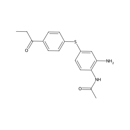 CCC(=O)c1ccc(Sc2ccc(NC(C)=O)c(N)c2)cc1